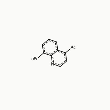 CCCc1cccc2c(C(C)=O)ccnc12